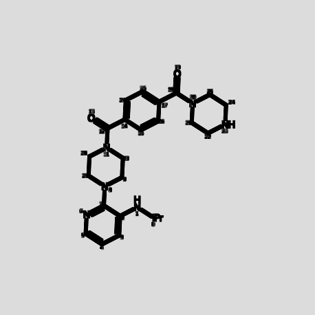 CC(C)Nc1cccnc1N1CCN(C(=O)c2ccc(C(=O)N3CCNCC3)cc2)CC1